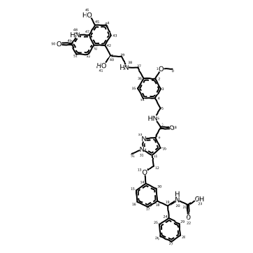 COc1cc(CNC(=O)c2cc(COc3cccc(C(NC(=O)O)c4ccccc4)c3)n(C)n2)ccc1CNCC(O)c1ccc(O)c2[nH]c(=O)ccc12